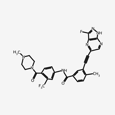 Cc1ccc(C(=O)Nc2ccc(C(=O)N3CCN(C)CC3)c(C(F)(F)F)c2)cc1C#Cc1cnc2[nH]nc(F)c2n1